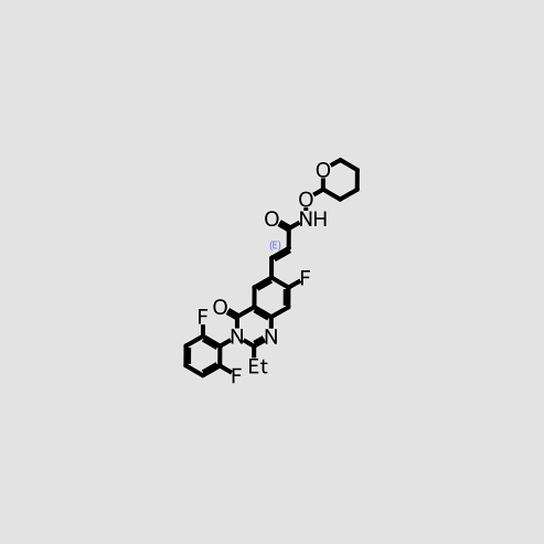 CCc1nc2cc(F)c(/C=C/C(=O)NOC3CCCCO3)cc2c(=O)n1-c1c(F)cccc1F